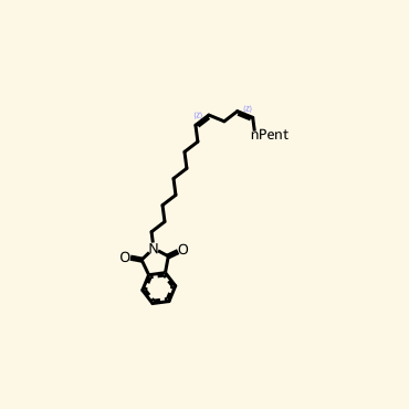 CCCCC/C=C\C/C=C\CCCCCCCCN1C(=O)c2ccccc2C1=O